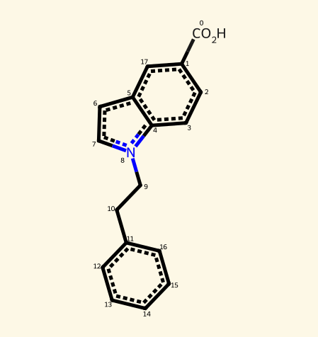 O=C(O)c1ccc2c(ccn2CCc2ccccc2)c1